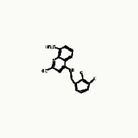 Cc1cc(NCc2cccc(Cl)c2Cl)c2cccc(C(=O)O)c2n1